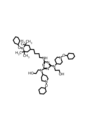 CC1(C)CC(CCCCNc2nc(N(CCO)C3CCN(OC4CCCCC4)CC3)nc(N(CCO)C3CCN(OC4CCCCC4)CC3)n2)CC(C)(C)N1OC1CCCCC1